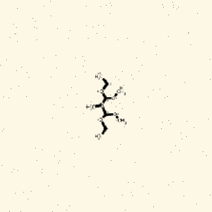 [CH2]N(C(OC)OCC)C(OC)OCC